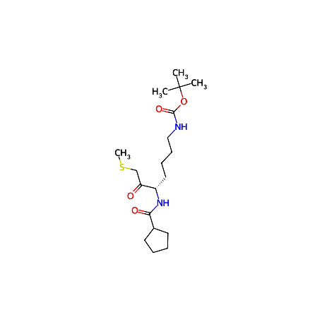 CSCC(=O)[C@H](CCCCNC(=O)OC(C)(C)C)NC(=O)C1CCCC1